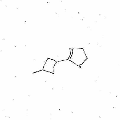 CC1CC(C2=NCCS2)C1